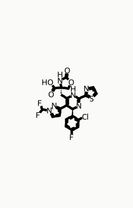 O=C1N[C@](CC2=C(c3ccn(C(F)F)n3)[C@H](c3ccc(F)cc3Cl)N=C(c3nccs3)N2)(C(=O)O)CO1